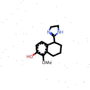 COc1c(O)ccc2c1CCCC2C1=NCCN1